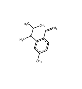 C=Cc1ccc(C)cc1N(C)C(C)C